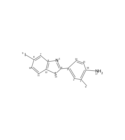 Cc1cc(-c2nc3cc(I)ccc3s2)ccc1N